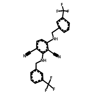 N#Cc1ccc(NCc2cccc(C(F)(F)F)c2)c(C#N)c1NCc1cccc(C(F)(F)F)c1